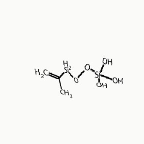 C=C(C)[SiH2]OO[Si](O)(O)O